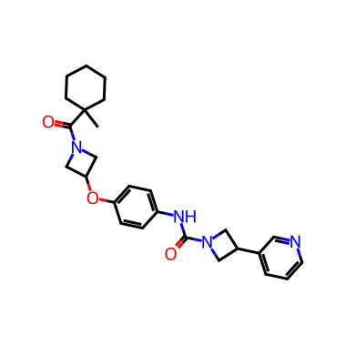 CC1(C(=O)N2CC(Oc3ccc(NC(=O)N4CC(c5cccnc5)C4)cc3)C2)CCCCC1